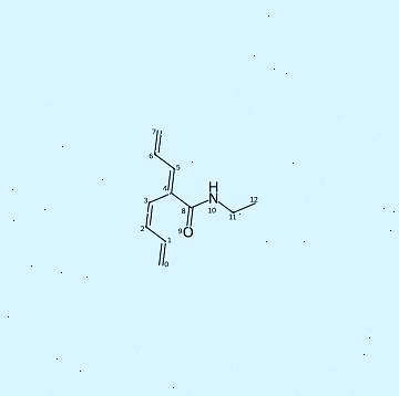 C=C/C=C\C(=C/C=C)C(=O)NCC